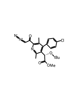 COC(=O)[C@@H](OC(C)(C)C)c1c(C)nc(C(=O)C=[N+]=[N-])c(C)c1-c1ccc(Cl)cc1